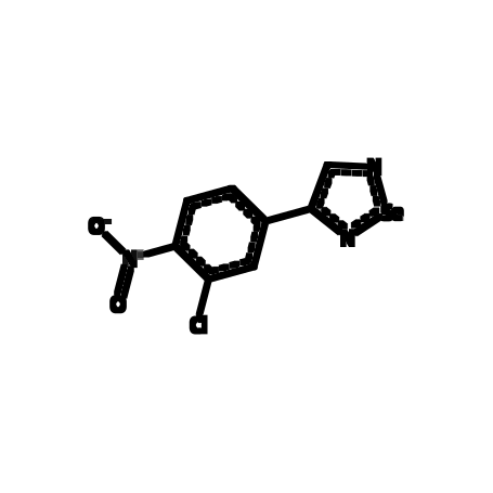 O=[N+]([O-])c1ccc(-c2cn[se]n2)cc1Cl